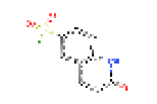 O=c1ccc2cc(S(=O)(=O)Cl)ccc2[nH]1